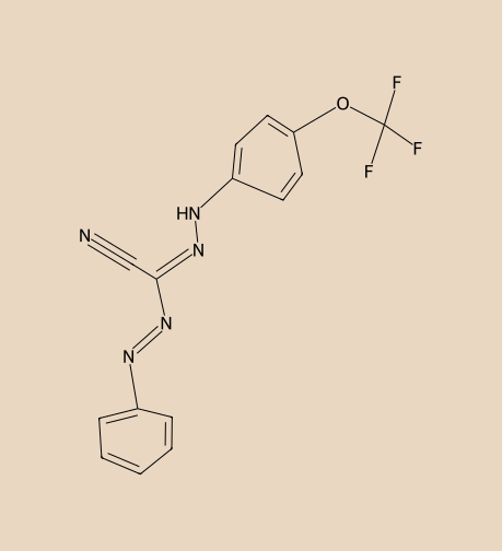 N#CC(/N=N/c1ccccc1)=N\Nc1ccc(OC(F)(F)F)cc1